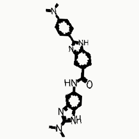 CN(C)c1ccc(-c2nc3cc(C(=O)Nc4ccc5[nH]c(N(C)C)nc5c4)ccc3[nH]2)cc1